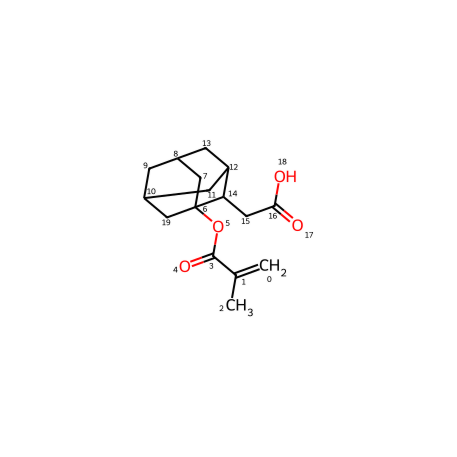 C=C(C)C(=O)OC12CC3CC(CC(C3)C1CC(=O)O)C2